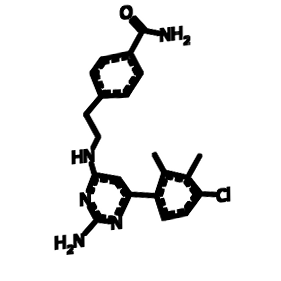 Cc1c(Cl)ccc(-c2cc(NCCc3ccc(C(N)=O)cc3)nc(N)n2)c1C